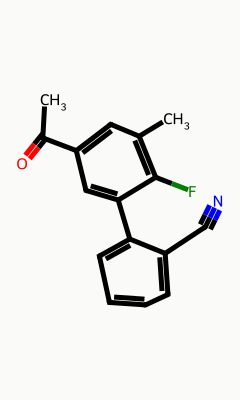 CC(=O)c1cc(C)c(F)c(-c2ccccc2C#N)c1